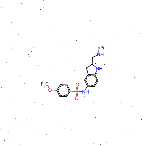 CCCNCC1Cc2cc(NS(=O)(=O)c3ccc(OC(F)(F)F)cc3)ccc2N1